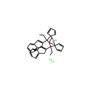 CCC(CC)(C1=Cc2ccccc2C1)[C]1([Zr+2][C]2(C(CC)(CC)C3=Cc4ccccc4C3)C=CC=C2)C=CC=C1.[Cl-].[Cl-]